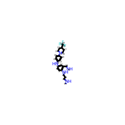 CNCCCNc1ccc(Nc2ccc(N3CCC(C(F)(F)F)CC3)cc2)cc1C=N